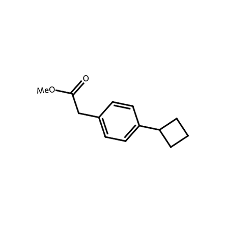 COC(=O)Cc1ccc(C2CCC2)cc1